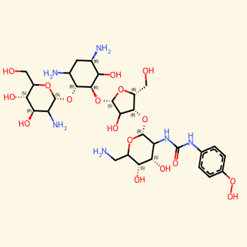 NCC1O[C@H](O[C@@H]2C(O)[C@H](O[C@@H]3C(O)[C@H](N)CC(N)[C@H]3O[C@H]3OC(CO)[C@@H](O)[C@H](O)C3N)O[C@@H]2CO)C(NC(=O)Nc2ccc(OO)cc2)[C@H](O)[C@@H]1O